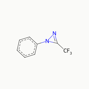 FC(F)(F)C1=NN1c1ccccc1